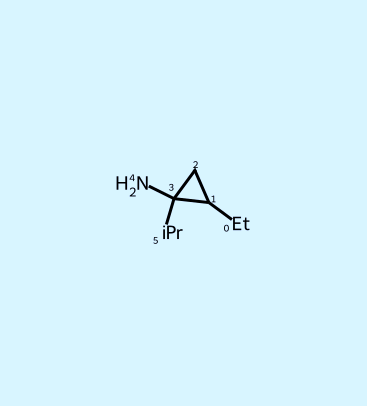 CCC1CC1(N)C(C)C